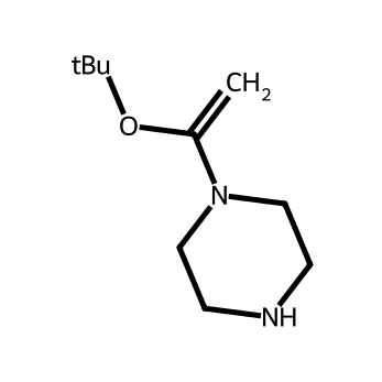 C=C(OC(C)(C)C)N1CCNCC1